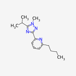 CCCCc1cccc(-c2nc(C(C)C)n(C)n2)n1